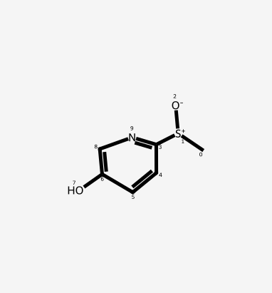 C[S+]([O-])c1ccc(O)cn1